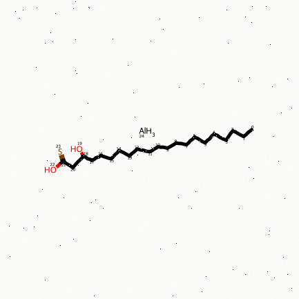 CCCCCCCCCCCCCCCCCCC(O)CC(O)=S.[AlH3]